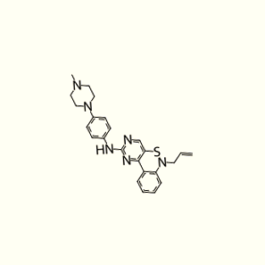 C=CCN1Sc2cnc(Nc3ccc(N4CCN(C)CC4)cc3)nc2-c2ccccc21